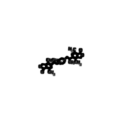 Cc1cc(C(O)CN2CCN(CC(O)c3cc(C)c4c(c3C)COC4=O)CC2)c(C)c2c1C(=O)OC2